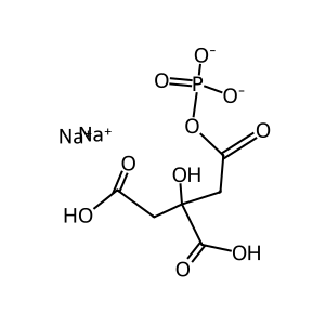 O=C(O)CC(O)(CC(=O)OP(=O)([O-])[O-])C(=O)O.[Na+].[Na+]